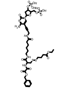 CCOC(=O)CCCSSCC(NC(=O)C(=O)OCc1ccccc1)C(=O)NCCCCCC(=O)NCC#Cc1cn(C2CC(OP(=O)(O)O)C(COP(=O)(O)O)O2)c(=O)nc1N